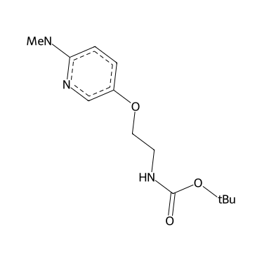 CNc1ccc(OCCNC(=O)OC(C)(C)C)cn1